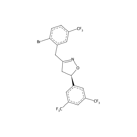 FC(F)(F)c1cc([C@H]2CC(Cc3cc(C(F)(F)F)ccc3Br)=NO2)cc(C(F)(F)F)c1